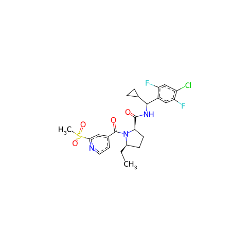 CC[C@@H]1CC[C@H](C(=O)NC(c2cc(F)c(Cl)cc2F)C2CC2)N1C(=O)c1ccnc(S(C)(=O)=O)c1